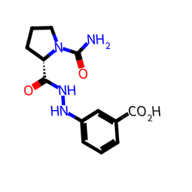 NC(=O)N1CCC[C@H]1C(=O)NNc1cccc(C(=O)O)c1